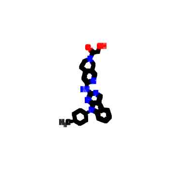 C[C@H]1CC[C@H](n2c3ccccc3c3cnc(Nc4cc5c(cn4)CN(C(=O)CO)CC5)nc32)CC1